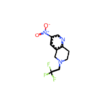 O=[N+]([O-])c1cnc2c(c1)CN(CC(F)(F)F)CC2